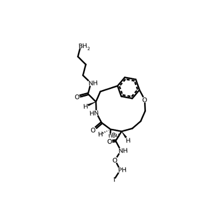 BCCCNC(=O)[C@@H]1Cc2ccc(cc2)OCCC[C@H](C(=O)NOPI)[C@@H](CCCC)C(=O)N1